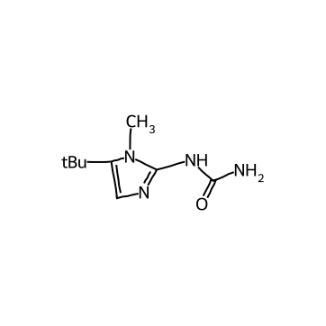 Cn1c(C(C)(C)C)cnc1NC(N)=O